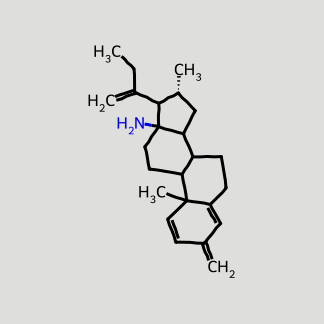 C=C1C=CC2(C)C(=C1)CCC1C2CCC2(N)C1C[C@@H](C)C2C(=C)CC